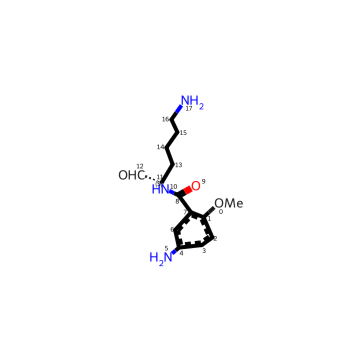 COc1ccc(N)cc1C(=O)N[C@H](C=O)CCCCN